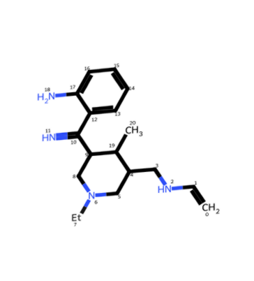 C=CNCC1CN(CC)CC(C(=N)c2ccccc2N)C1C